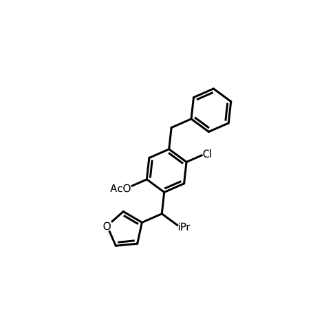 CC(=O)Oc1cc(Cc2ccccc2)c(Cl)cc1C(c1ccoc1)C(C)C